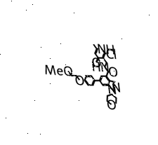 COCCOc1ccc(-c2cc(C(=O)NCc3c(Cl)[nH]c(C)cc3=O)c3cnn(C4CCOCC4)c3c2)cc1